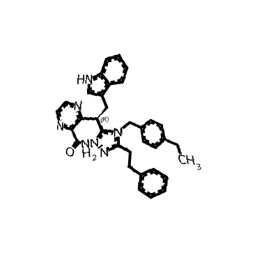 CCc1ccc(Cn2c(CCc3ccccc3)nnc2[C@H](Cc2c[nH]c3ccccc23)c2nccnc2C(N)=O)cc1